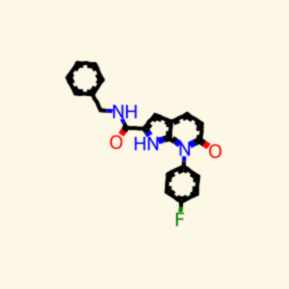 O=C(NCc1ccccc1)c1cc2ccc(=O)n(-c3ccc(F)cc3)c2[nH]1